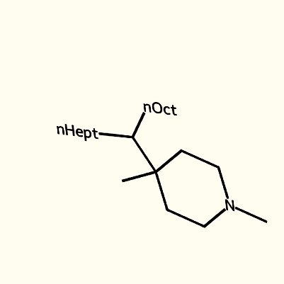 CCCCCCCCC(CCCCCCC)C1(C)CCN(C)CC1